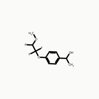 COC(F)C(F)(F)Oc1ccc(C(C)O)cc1